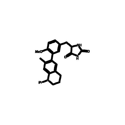 COc1ccc(CC2NC(=O)NC2=O)cc1-c1cc2c(cc1C)N(C(C)C)CCC2